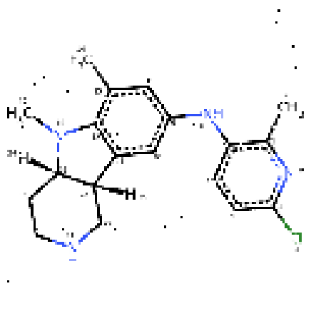 Cc1nc(Cl)ccc1Nc1cc2c(c(C(F)(F)F)c1)N(C)[C@H]1CCNC[C@@H]21